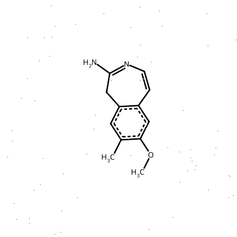 COc1cc2c(cc1C)CC(N)=NC=C2